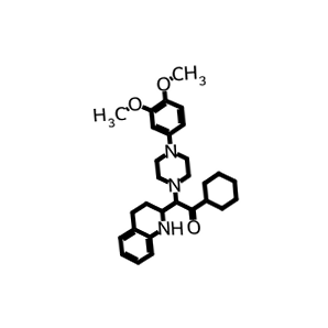 COc1ccc(N2CCN(C(C(=O)C3CCCCC3)C3CCc4ccccc4N3)CC2)cc1OC